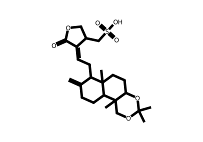 C=C1CCC2C3(C)COC(C)(C)OC3CCC2(C)C1CC=C1C(=O)OCC1CS(=O)(=O)O